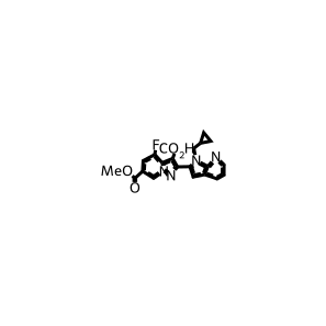 COC(=O)c1cc(F)c2c(C(=O)O)c(-c3cc4cccnc4n3CC3CC3)nn2c1